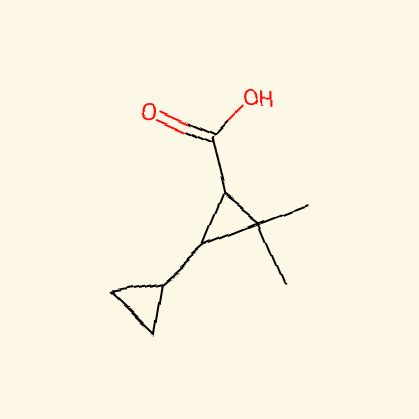 CC1(C)C(C(=O)O)C1C1CC1